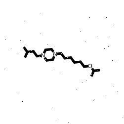 CC(C)CCN1CCN(CCCCCCOC(C)C)CC1